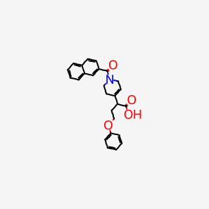 O=C(O)C(CCOc1ccccc1)C1=CCN(C(=O)c2ccc3ccccc3c2)CC1